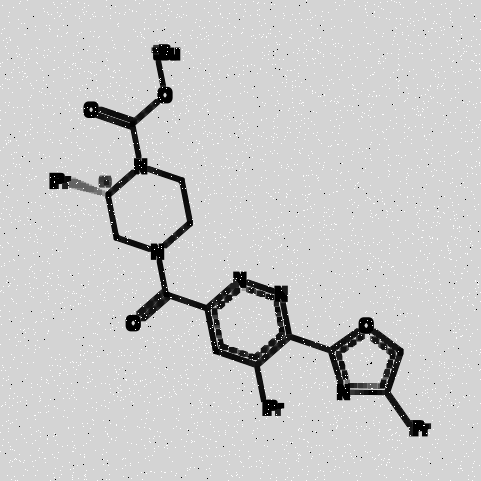 CC(C)c1coc(-c2nnc(C(=O)N3CCN(C(=O)OC(C)(C)C)[C@@H](C(C)C)C3)cc2C(C)C)n1